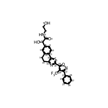 O=C(NCCO)[C@H](O)c1ccc2c(c1)CCc1nc(-c3onc(-c4ccccc4)c3C(F)(F)F)sc1-2